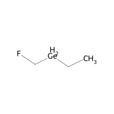 C[CH2][GeH2][CH2]F